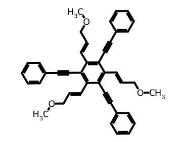 COC/C=C/c1c(C#Cc2ccccc2)c(/C=C/COC)c(C#Cc2ccccc2)c(/C=C/COC)c1C#Cc1ccccc1